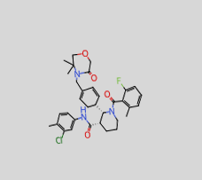 Cc1ccc(NC(=O)[C@H]2CCCN(C(=O)c3c(C)cccc3F)[C@H]2C2C=CC(CN3C(=O)COCC3(C)C)=CC2)cc1Cl